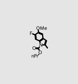 CCCOC(=O)n1c(C)cc2cc(OC)c(F)cc21